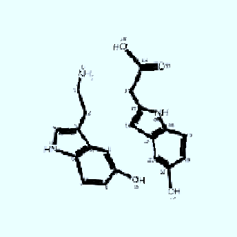 NCCc1c[nH]c2ccc(O)cc12.O=C(O)Cc1cc2cc(O)ccc2[nH]1